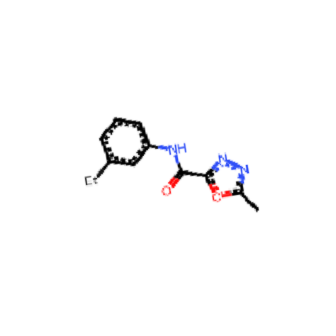 CCc1cccc(NC(=O)c2nnc(C)o2)c1